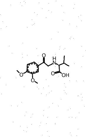 COc1ccc(C(=O)CN[C@H](C(=O)O)C(C)C)cc1OC